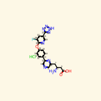 Cl.NC(CC(=O)O)Cc1cncc(-c2ccc(Oc3ncc(-c4nn[nH]n4)cc3F)cc2)n1